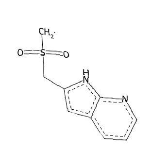 [CH2]S(=O)(=O)Cc1cc2cccnc2[nH]1